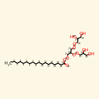 CCCCCCCCCCCCCCCCCC(=O)OOCC(COOCC(O)CO)OOCC(O)CO